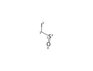 O=[S+]CI